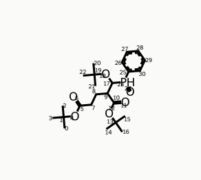 CC(C)(C)OC(=O)CCC(C(=O)OC(C)(C)C)C(OC(C)(C)C)[PH](=O)c1ccccc1